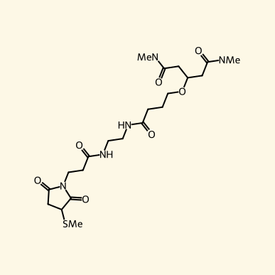 CNC(=O)CC(CC(=O)NC)OCCCC(=O)NCCNC(=O)CCN1C(=O)CC(SC)C1=O